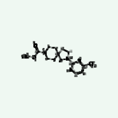 CC(C)(C)OC(=O)N1CCC2(CC1)CCN(c1nccc(C(F)(F)F)n1)C2